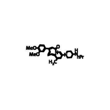 CCCNC1CCN(C2=CN3C(=O)\C=C(c4ccc(OC)c(OC)c4)/C=C/C=C/3C(C)=C2)CC1